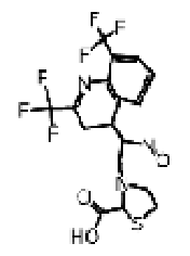 O=NC(CN1CCSC1C(=O)O)C1CC(C(F)(F)F)=Nc2c1cccc2C(F)(F)F